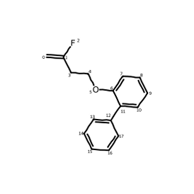 C=C(F)CCOc1ccccc1-c1ccccc1